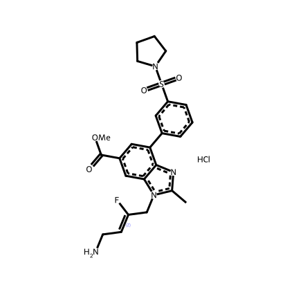 COC(=O)c1cc(-c2cccc(S(=O)(=O)N3CCCC3)c2)c2nc(C)n(C/C(F)=C/CN)c2c1.Cl